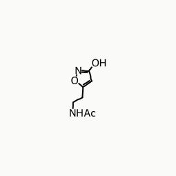 CC(=O)NCCc1cc(O)no1